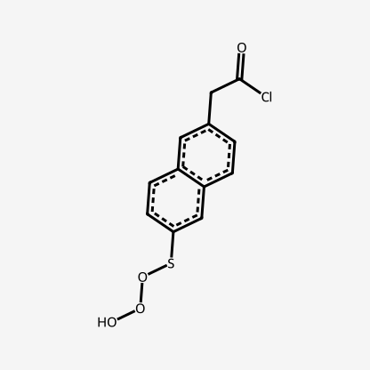 O=C(Cl)Cc1ccc2cc(SOOO)ccc2c1